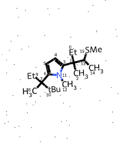 CCC(C)(c1ccc(C(C)(CC)C(C)(C)C)n1C)C(C)SC